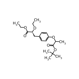 CCOC(=O)[C@H](Cc1ccc(OC(C)C(=O)OC(C)(C)C)cc1)OCC